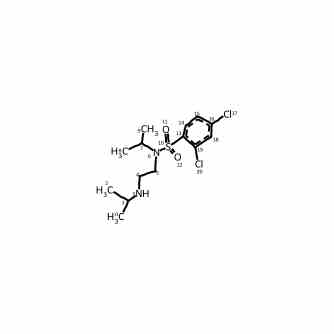 CC(C)NCCN(C(C)C)S(=O)(=O)c1ccc(Cl)cc1Cl